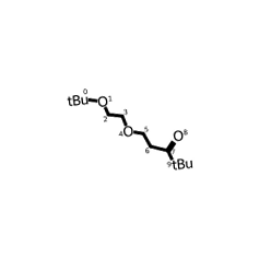 CC(C)(C)OCCOCCC(=O)C(C)(C)C